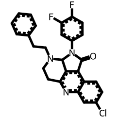 O=C1c2c3c(nc4cc(Cl)ccc24)CCN(CCc2ccccc2)C3N1c1ccc(F)c(F)c1